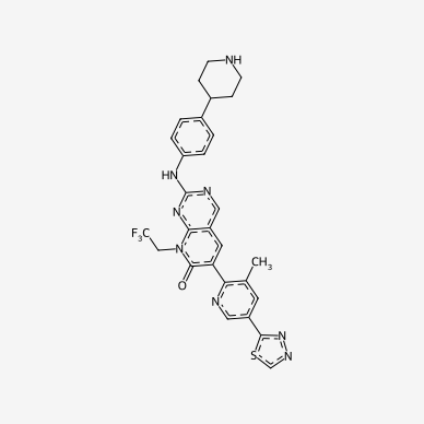 Cc1cc(-c2nncs2)cnc1-c1cc2cnc(Nc3ccc(C4CCNCC4)cc3)nc2n(CC(F)(F)F)c1=O